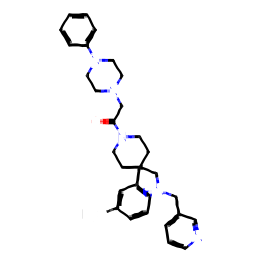 O=C(CN1CCN(c2ccccc2)CC1)N1CCC(CNCc2cccnc2)(c2cccc(C(F)(F)F)c2)CC1